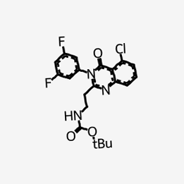 CC(C)(C)OC(=O)NCCc1nc2cccc(Cl)c2c(=O)n1-c1cc(F)cc(F)c1